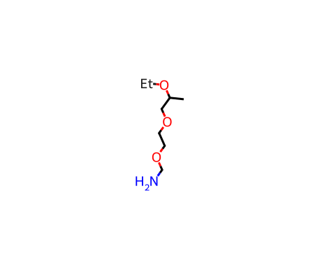 CCOC(C)COCCOCN